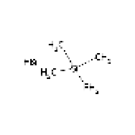 Br.C[Si](C)(C)P